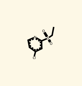 CCS(=O)(=O)c1cc(Cl)ccn1